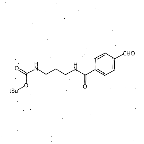 CC(C)(C)OC(=O)NCCCNC(=O)c1ccc(C=O)cc1